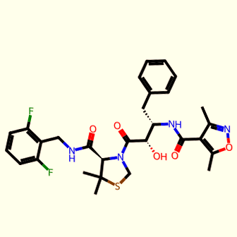 Cc1noc(C)c1C(=O)N[C@@H](Cc1ccccc1)[C@H](O)C(=O)N1CSC(C)(C)[C@H]1C(=O)NCc1c(F)cccc1F